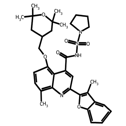 Cc1c(-c2cc(C(=O)NS(=O)(=O)N3CCCC3)c3c(OCC4CC(C)(C)OC(C)(C)C4)ccc(C)c3n2)oc2ccccc12